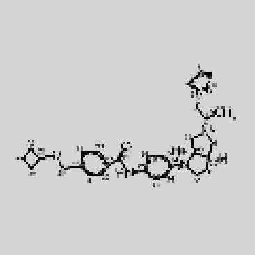 CC(Cn1cccn1)N1C[C@H]2CCN(c3ccc(NC(=O)c4ccc(COC5CCC5)cc4)cc3)[C@H]2C1